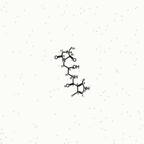 Cc1c[nH]c(C)c1C(=O)NCC(O)CN1C(=O)CN(C)C1=O